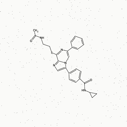 CC(=O)NCCSc1nc(-c2ccccc2)cn2c(-c3ccc(C(=O)NC4CC4)cc3)cnc12